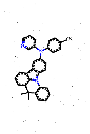 CC1(C)c2ccccc2-n2c3ccc(N(c4ccc(C#N)cc4)c4cccnc4)cc3c3cccc1c32